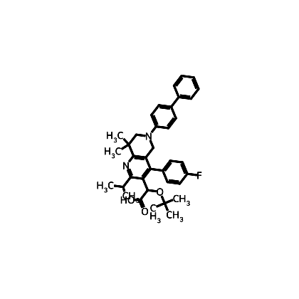 CC(C)c1nc2c(c(-c3ccc(F)cc3)c1C(OC(C)(C)C)C(=O)O)CN(c1ccc(-c3ccccc3)cc1)CC2(C)C